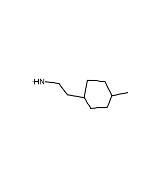 CC1CCC(CC[NH])CC1